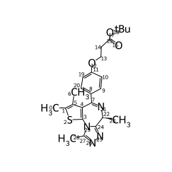 Cc1sc2c(c1C)C(c1ccc(OCCC(=O)OC(C)(C)C)cc1)=N[C@@H](C)c1nnc(C)n1-2